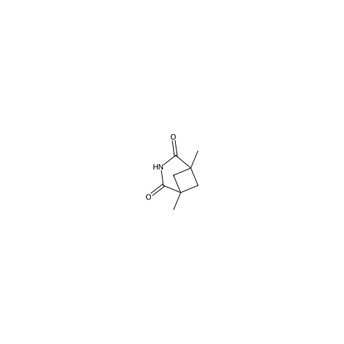 CC12CC(C)(C1)C(=O)NC2=O